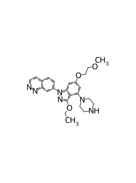 CCOc1nn(-c2ccc3ccnnc3c2)c2cc(OCCOC)cc(N3CCNCC3)c12